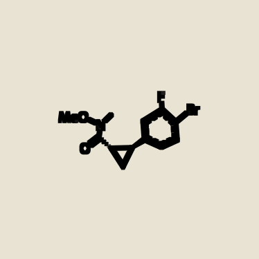 CON(C)C(=O)[C@H]1C[C@@H]1c1ccc(Br)c(F)c1